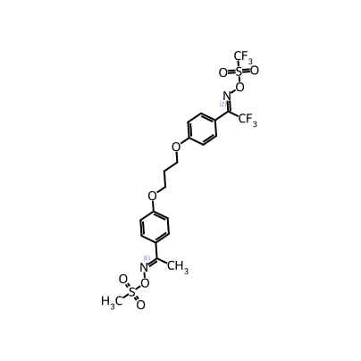 C/C(=N\OS(C)(=O)=O)c1ccc(OCCCOc2ccc(/C(=N/OS(=O)(=O)C(F)(F)F)C(F)(F)F)cc2)cc1